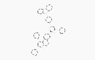 c1ccc(-c2cc(-c3ccc(C4c5ccccc5-c5ccccc54)cc3)nc(-c3ccc4c(ccc5nc(-c6ccccc6)cc(-c6ccccc6)c54)c3)n2)cc1